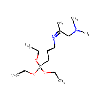 CCO[Si](CCCN=C(C)CN(C)C)(OCC)OCC